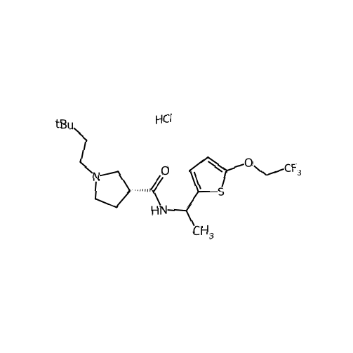 CC(NC(=O)[C@@H]1CCN(CCC(C)(C)C)C1)c1ccc(OCC(F)(F)F)s1.Cl